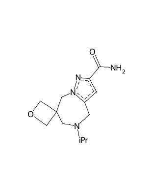 CC(C)N1Cc2cc(C(N)=O)nn2CC2(COC2)C1